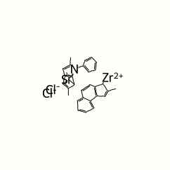 CC1=C2c3cc(C)n(-c4ccccc4)c3C1[Si]2(C)C.CC1=Cc2c(ccc3ccccc23)[CH]1[Zr+2].[Cl-].[Cl-]